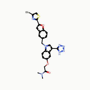 CN(C)C(=O)COc1ccc2c(c1)c(-c1nnn[nH]1)cn2Cc1ccc2oc(-c3nc(C(C)(C)C)cs3)cc2c1